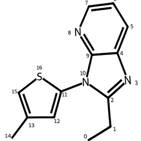 CCc1nc2cccnc2n1-c1cc(C)cs1